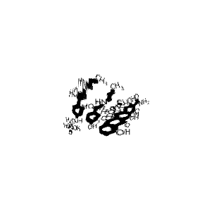 CCCCNCC(O)c1ccc(O)cc1.CCCCNCC(O)c1ccc(O)cc1.C[C@H]1c2cccc(O)c2C(=O)C2=C(O)[C@]3(O)C(=O)C(C(N)=O)=C(O)[C@@H](N(C)C)[C@@H]3[C@@H](O)[C@@H]21.O.O=S(=O)(O)O